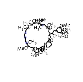 [2H]C([2H])(CO)O[C@@H]1CC[C@@H](C[C@@H](C)[C@@H]2CC(=O)[C@H](C)/C=C(\C)[C@@H](O)[C@@H](OC)C(=C)[C@H](C)C[C@H](C)/C=C/C=C/C=C(\C)[C@@H](OC)C[C@@H]3CC([2H])([2H])[C@@H](C)[C@@](O)(O3)C(=O)C(=O)N3CCCC[C@H]3C(=O)O2)C[C@H]1OC